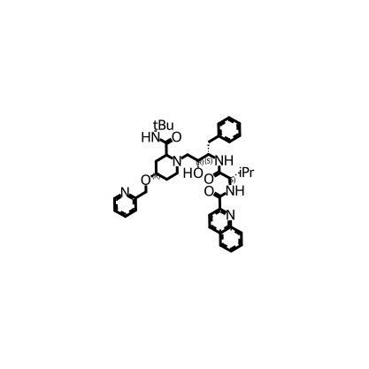 CC(C)[C@H](NC(=O)c1ccc2ccccc2n1)C(=O)N[C@@H](Cc1ccccc1)[C@H](O)CN1CC[C@@H](OCc2ccccn2)CC1C(=O)NC(C)(C)C